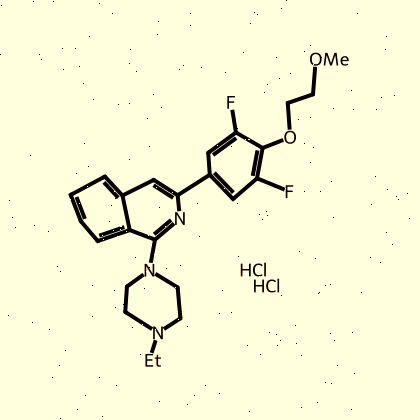 CCN1CCN(c2nc(-c3cc(F)c(OCCOC)c(F)c3)cc3ccccc23)CC1.Cl.Cl